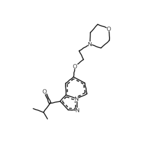 CC(C)C(=O)c1cnn2ccc(OCCN3CCOCC3)cc12